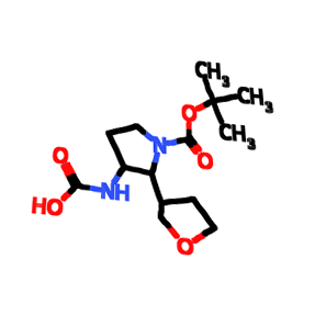 CC(C)(C)OC(=O)N1CCC(NC(=O)O)C1C1CCOC1